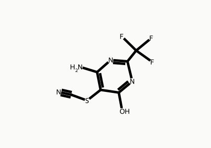 N#CSc1c(N)nc(C(F)(F)F)nc1O